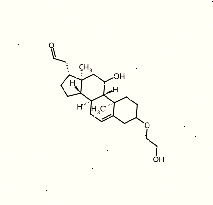 C[C@]12CC(O)[C@H]3[C@@H](CC=C4CC(OCCO)CC[C@@]43C)[C@@H]1CC[C@@H]2CC=O